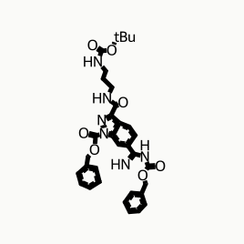 CC(C)(C)OC(=O)NCCCNC(=O)c1nn(C(=O)OCc2ccccc2)c2cc(C(=N)NC(=O)OCc3ccccc3)ccc12